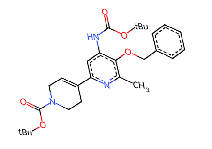 Cc1nc(C2=CCN(C(=O)OC(C)(C)C)CC2)cc(NC(=O)OC(C)(C)C)c1OCc1ccccc1